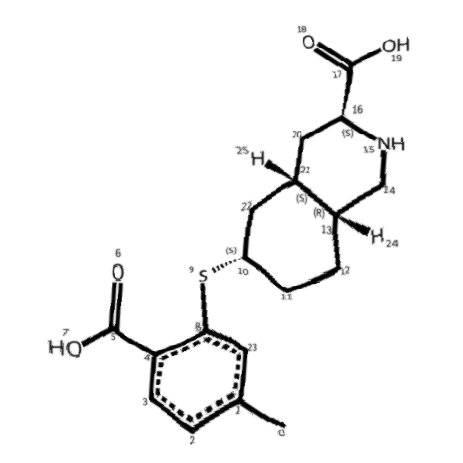 Cc1ccc(C(=O)O)c(S[C@H]2CC[C@H]3CN[C@H](C(=O)O)C[C@H]3C2)c1